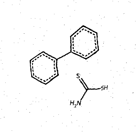 NC(=S)S.c1ccc(-c2ccccc2)cc1